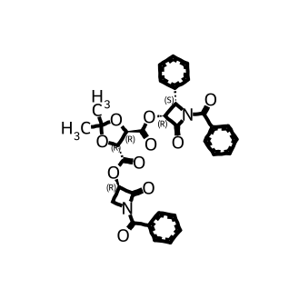 CC1(C)O[C@@H](C(=O)O[C@@H]2CN(C(=O)c3ccccc3)C2=O)[C@H](C(=O)O[C@H]2C(=O)N(C(=O)c3ccccc3)[C@H]2c2ccccc2)O1